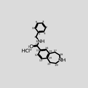 Cl.O=C(NCc1ccccc1)c1ccc2c(c1)CCNCC2